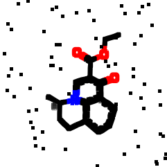 CCOC(=O)c1cn2c3c(cccc3c1=O)CC[C@H]2C